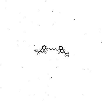 O=C(O)c1cc(=O)c2c(OCCCCCOc3cccc4oc(C(=O)O)cc(=O)c34)cccc2o1